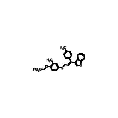 Cc1cc(SCC=C(c2ccc(C(F)(F)F)cc2)c2csc3ccccc23)ccc1OCC(=O)O